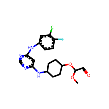 COC(C=O)OC1CCC(Nc2cc(Nc3ccc(F)c(Cl)c3)ncn2)CC1